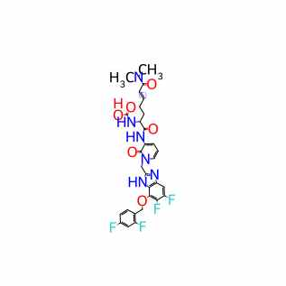 CN(C)C(=O)/C=C/CCC(NC(=O)O)C(=O)Nc1cccn(Cc2nc3cc(F)c(F)c(OCc4ccc(F)cc4F)c3[nH]2)c1=O